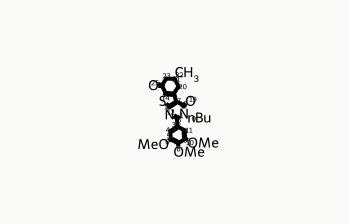 CCCCn1c(-c2cc(OC)c(OC)c(OC)c2)nc2sc3c(c2c1=O)CC(C)CC3=O